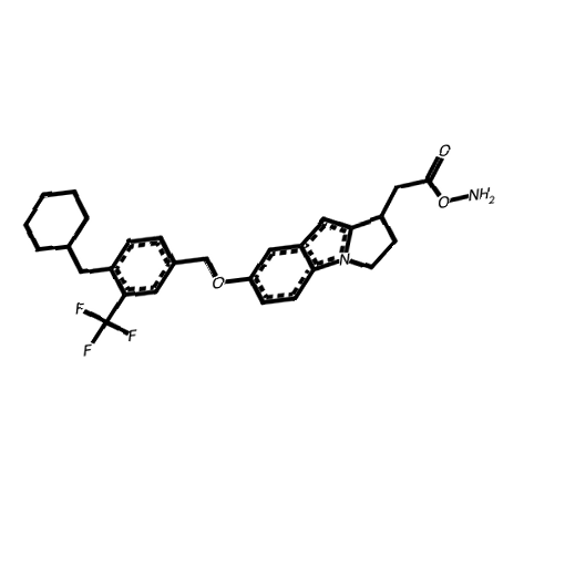 NOC(=O)CC1CCn2c1cc1cc(OCc3ccc(CC4CCCCC4)c(C(F)(F)F)c3)ccc12